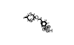 C=C1CSCC(OCCc2ccc(S(=O)(=O)O)cc2)CSC1